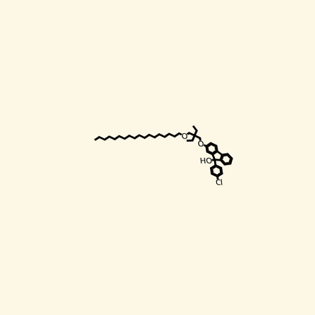 CCCCCCCCCCCCCCCCCCOCC(CC)(CC)COc1ccc2c(c1)C(O)(c1ccc(Cl)cc1)c1ccccc1-2